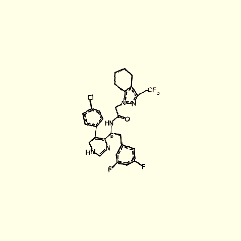 O=C(Cn1nc(C(F)(F)F)c2c1CCCC2)N[C@@H](Cc1cc(F)cc(F)c1)C1=C(c2ccc(Cl)cc2)CNC=N1